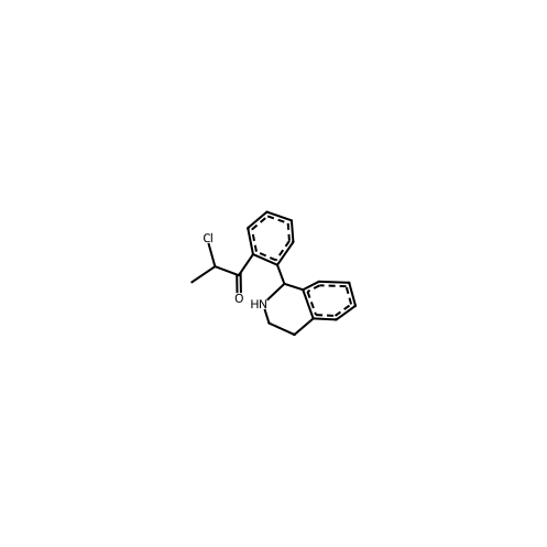 CC(Cl)C(=O)c1ccccc1C1NCCc2ccccc21